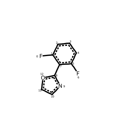 Fc1cccc(F)c1-c1nc[c]o1